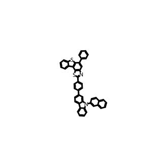 c1ccc(-c2cc3nc(-c4ccc(-c5ccc6c7ccccc7n(-c7ccc8ccccc8c7)c6c5)cc4)sc3c3c2sc2ccccc23)cc1